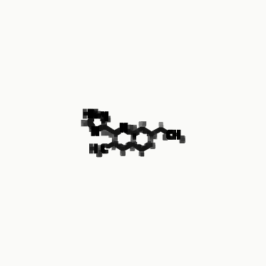 CCc1ccc2cc(C)c(-c3nc[nH]n3)nc2c1